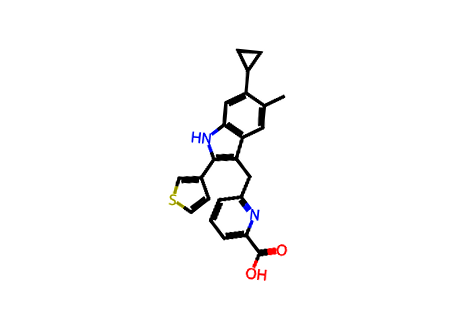 Cc1cc2c(Cc3cccc(C(=O)O)n3)c(-c3ccsc3)[nH]c2cc1C1CC1